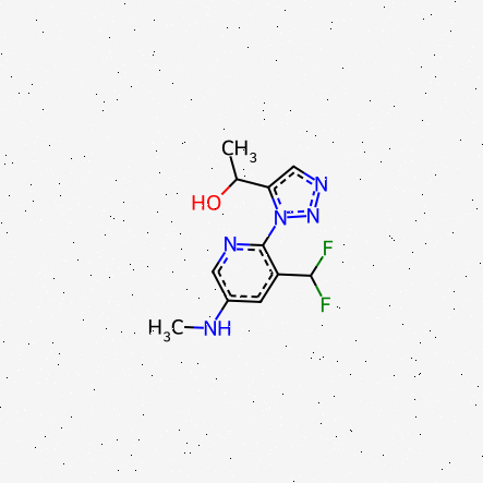 CNc1cnc(-n2nncc2C(C)O)c(C(F)F)c1